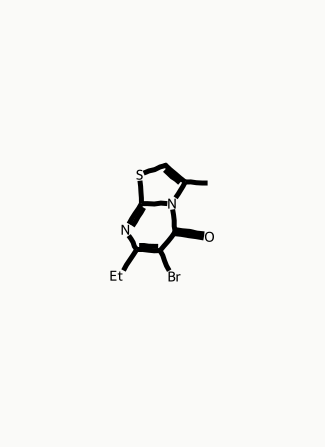 CCc1nc2scc(C)n2c(=O)c1Br